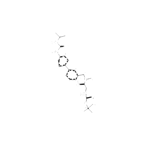 CC(C)NC(=O)Nc1ccc(-c2cccc(CN(C)C(=O)CNC(=O)OC(C)(C)C)c2)cc1